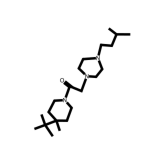 CC(C)CCN1CCN(CC(=O)N2CCC(C)(C(C)(C)C)CC2)CC1